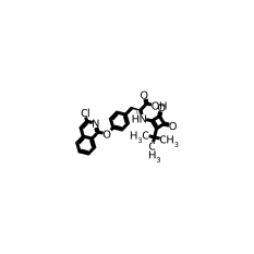 CC(C)(C)c1c(N[C@@H](Cc2ccc(Oc3nc(Cl)cc4ccccc34)cc2)C(=O)O)c(=O)c1=O